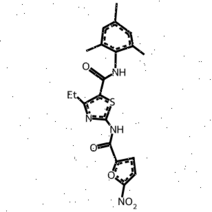 CCc1nc(NC(=O)c2ccc([N+](=O)[O-])o2)sc1C(=O)Nc1c(C)cc(C)cc1C